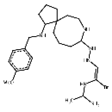 COc1ccc(CNC2CCCC23CCCC(NN/C=C(/Br)NC(C)N)NCC3)cc1